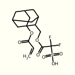 C=CC(=O)OC12CC3CC(CC(C3)C1COC(=O)C(F)(F)S(=O)(=O)O)C2